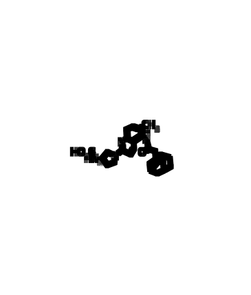 Cc1ccc2nc(N3CC[C@H](NC(=O)O)C3)ccc2c1NC(=O)CC12CC3CC(CC(C3)C1)C2